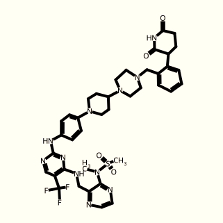 CN(c1nccnc1CNc1nc(Nc2ccc(N3CCC(N4CCN(Cc5ccccc5C5CCC(=O)NC5=O)CC4)CC3)cc2)ncc1C(F)(F)F)S(C)(=O)=O